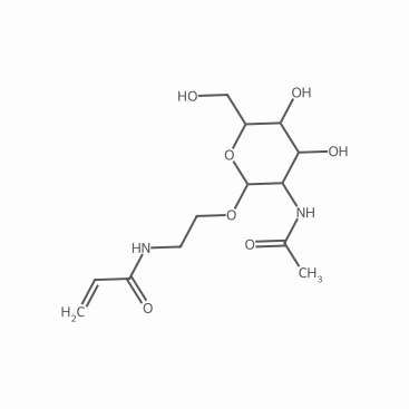 C=CC(=O)NCCOC1OC(CO)C(O)C(O)C1NC(C)=O